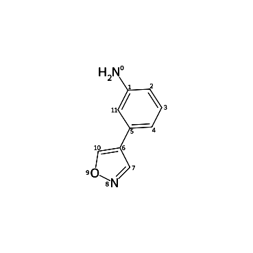 Nc1cccc(-c2cnoc2)c1